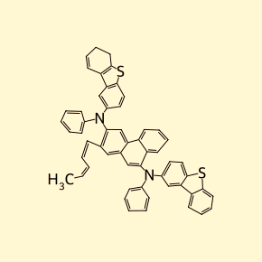 C/C=C\C=C/c1cc2cc(N(c3ccccc3)c3ccc4sc5ccccc5c4c3)c3ccccc3c2cc1N(c1ccccc1)c1ccc2sc3c(c2c1)C=CCC3